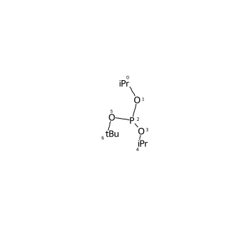 CC(C)OP(OC(C)C)OC(C)(C)C